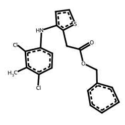 Cc1c(Cl)ccc(Nc2ccsc2CC(=O)OCc2ccccc2)c1Cl